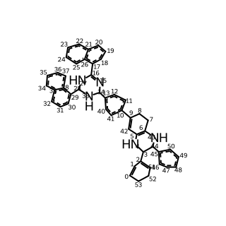 C1=CC(C2NC3=C(CCC(c4ccc(C5N=C(c6cccc7ccccc67)NC(c6cccc7ccccc67)N5)cc4)=C3)NC2c2ccccc2)=CCC1